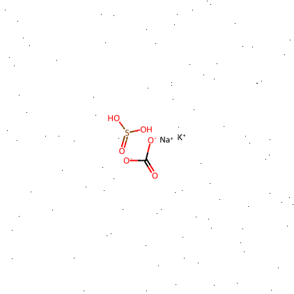 O=C([O-])[O-].O=S(O)O.[K+].[Na+]